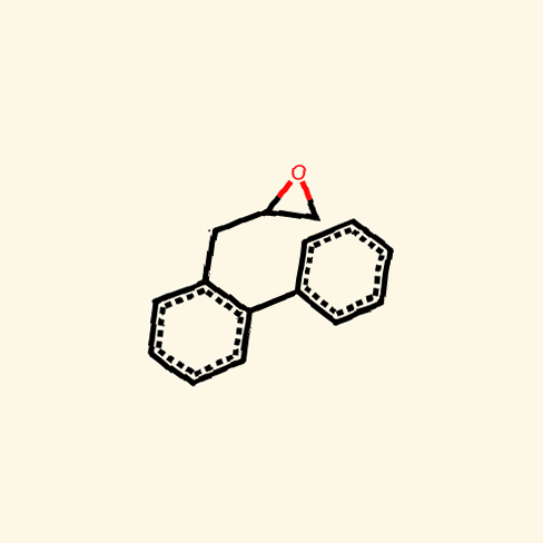 [CH](c1ccccc1-c1ccccc1)C1CO1